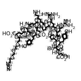 CCC(C)C(NC(=O)C(Cc1ccc(O)cc1)NC(=O)C1CCCN1C(=O)C(CCCNC(=N)N)NC(=O)C(CCCNC(=N)N)NC(=O)C1CCCN1C(=O)C(CCCCN)NC(=O)C(CC(N)=O)NC(=O)C(CC(=O)O)NC(=O)C(Cc1ccc(O)cc1)NC(=O)C(CC(C)C)NC(=O)C(CCC(=O)O)NC(=O)CCOCCOCCOCCN=[N+]=[N-])C(=O)NC(CC(C)C)C(=O)O